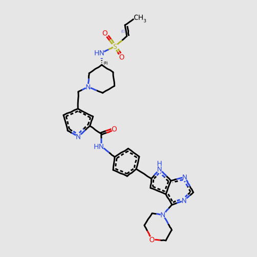 C/C=C/S(=O)(=O)N[C@@H]1CCCN(Cc2ccnc(C(=O)Nc3ccc(-c4cc5c(N6CCOCC6)ncnc5[nH]4)cc3)c2)C1